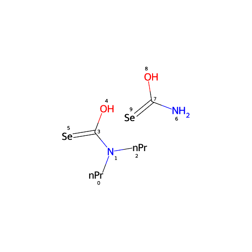 CCCN(CCC)C(O)=[Se].NC(O)=[Se]